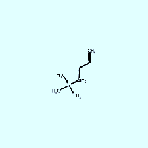 C=CC[SiH2][Si](C)(C)C